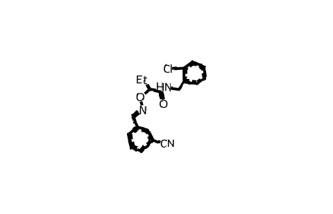 CCC(ON=Cc1cccc(C#N)c1)C(=O)NCc1ccccc1Cl